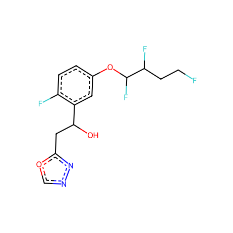 OC(Cc1nnco1)c1cc(OC(F)C(F)CCF)ccc1F